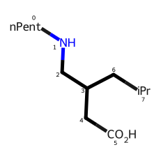 CCCCCNCC(CC(=O)O)CC(C)C